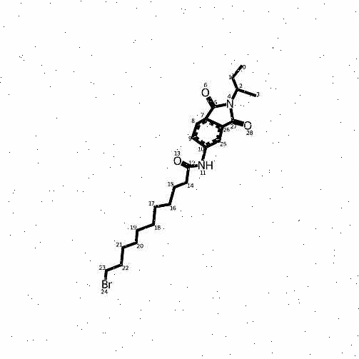 CCC(C)N1C(=O)c2ccc(NC(=O)CCCCCCCCCCBr)cc2C1=O